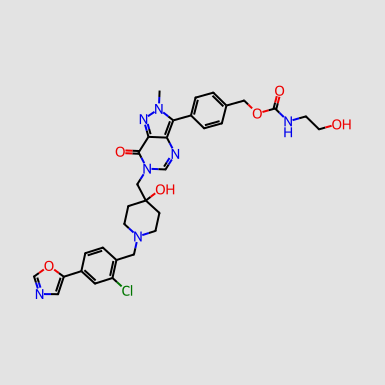 Cn1nc2c(=O)n(CC3(O)CCN(Cc4ccc(-c5cnco5)cc4Cl)CC3)cnc2c1-c1ccc(COC(=O)NCCO)cc1